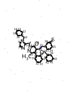 Cc1nn(Cc2nccn2Cc2ccccc2)c(=O)c(/C=C/c2cccc(F)c2)c1-c1ccccc1OCc1ccccc1